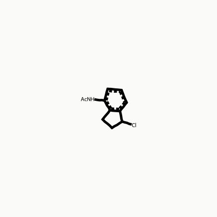 CC(=O)Nc1cccc2c1CCC2Cl